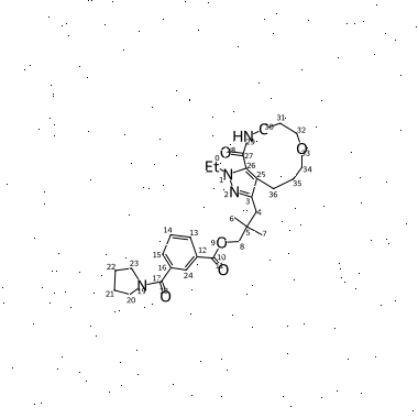 CCn1nc(CC(C)(C)COC(=O)c2cccc(C(=O)N3CCCC3)c2)c2c1C(=O)NCCCOCCC2